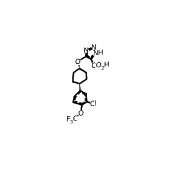 O=C(O)c1[nH]nnc1O[C@H]1CC[C@H](c2ccc(OC(F)(F)F)c(Cl)c2)CC1